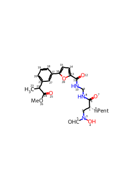 CCCCC[C@H](CN(O)C=O)C(=O)NCNC(=O)c1ccc(-c2cccc(C(C)C(=O)OC)c2)o1